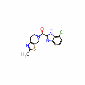 Cc1nc2c(s1)CN(C(=O)c1nc3cccc(Cl)c3[nH]1)CC2